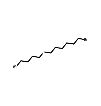 CC(C)CCCCOCCCCCCBr